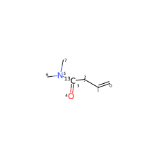 C=C[CH][13C](=O)N(C)C